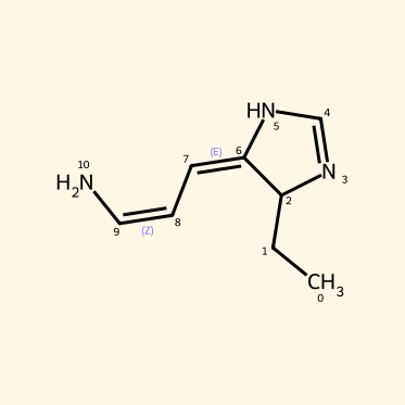 CCC1N=CN/C1=C/C=C\N